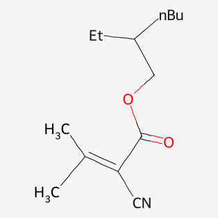 CCCCC(CC)COC(=O)C(C#N)=C(C)C